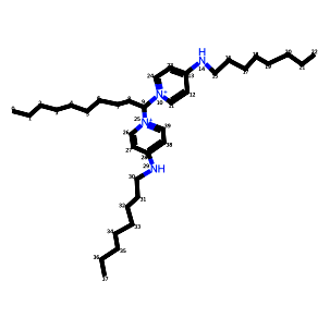 CCCCCCCCCC([n+]1ccc(NCCCCCCCC)cc1)[n+]1ccc(NCCCCCCCC)cc1